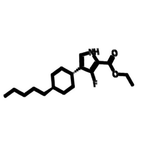 CCCCC[C@H]1CC[C@H](c2c[nH]c(C(=O)OCC)c2F)CC1